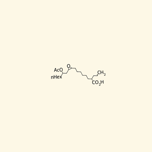 C=CCC(CCCCCCC1OC1CC(CCCCCC)OC(C)=O)C(=O)O